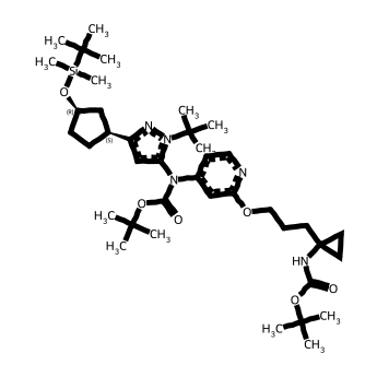 CC(C)(C)OC(=O)NC1(CCCOc2cc(N(C(=O)OC(C)(C)C)c3cc([C@H]4CC[C@@H](O[Si](C)(C)C(C)(C)C)C4)nn3C(C)(C)C)ccn2)CC1